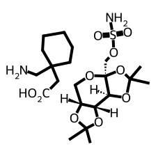 CC1(C)O[C@@H]2[C@@H](CO[C@@]3(COS(N)(=O)=O)OC(C)(C)O[C@@H]23)O1.NCC1(CC(=O)O)CCCCC1